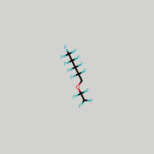 FC(F)C(F)(F)OCC(F)(F)C(F)(F)C(F)(F)C(F)(F)F